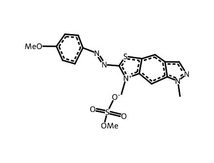 COS(=O)(=O)[O-].COc1ccc(/N=N/c2sc3cc4cnn(C)c4cc3[n+]2C)cc1